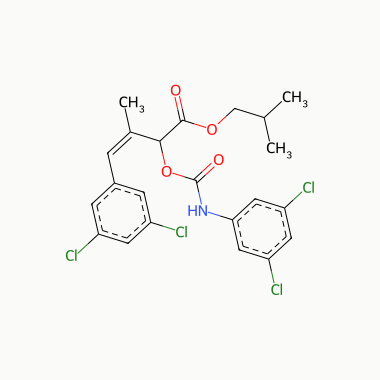 CC(=Cc1cc(Cl)cc(Cl)c1)C(OC(=O)Nc1cc(Cl)cc(Cl)c1)C(=O)OCC(C)C